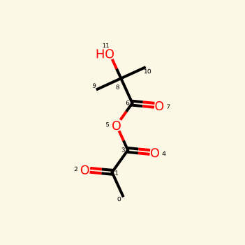 CC(=O)C(=O)OC(=O)C(C)(C)O